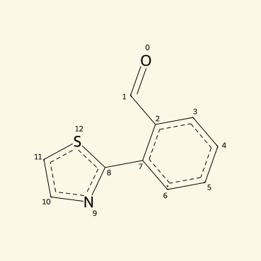 O=Cc1ccc[c]c1-c1nccs1